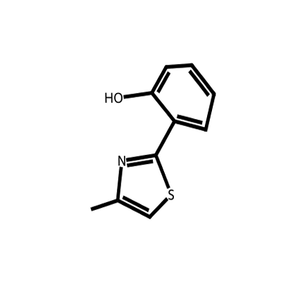 Cc1csc(-c2ccccc2O)n1